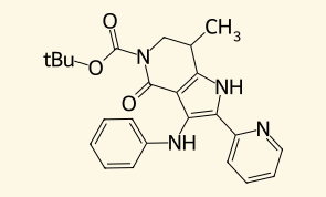 CC1CN(C(=O)OC(C)(C)C)C(=O)c2c1[nH]c(-c1ccccn1)c2Nc1ccccc1